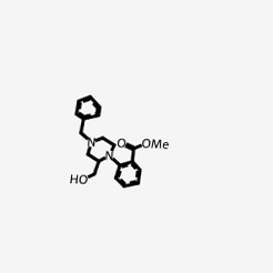 COC(=O)c1ccccc1N1CCN(Cc2ccccc2)CC1CO